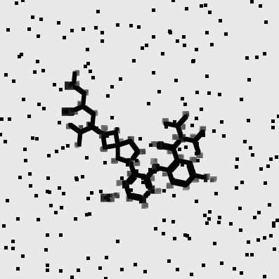 CNCC(O)CC(C(C)C)N1CC2(CCN(c3ncnnc3Oc3ccc(F)cc3C(=O)N(C(C)C)C(C)C)C2)C1.Cl